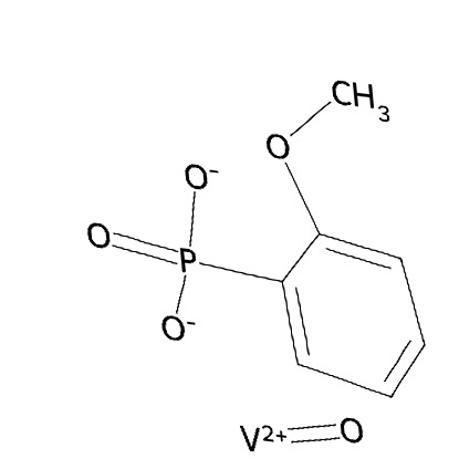 COc1ccccc1P(=O)([O-])[O-].[O]=[V+2]